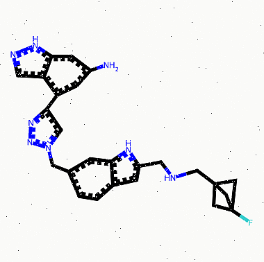 Nc1cc(-c2cn(Cc3ccc4cc(CNCC56CC(F)(C5)C6)[nH]c4c3)nn2)c2cn[nH]c2c1